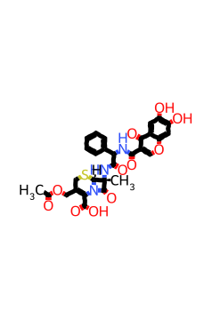 CC(=O)OCC1=C(C(=O)O)N2C(=O)[C@@](C)(NC(=O)C(NC(=O)c3coc4cc(O)c(O)cc4c3=O)c3ccccc3)[C@@H]2SC1